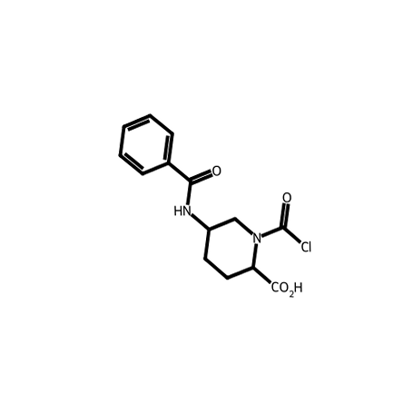 O=C(NC1CCC(C(=O)O)N(C(=O)Cl)C1)c1ccccc1